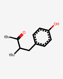 CC(C)(C)C(=O)C(Cc1ccc(O)cc1)C(C)(C)C